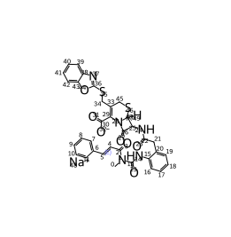 CN(C(=O)/C=C/c1ccccc1)C(=O)Nc1ccccc1CC(=O)NC1C(=O)N2C(C(=O)[O-])=C(CSc3nc4ccccc4o3)CS[C@H]12.[Na+]